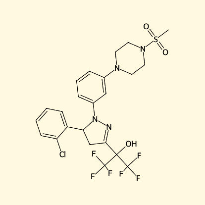 CS(=O)(=O)N1CCN(c2cccc(N3N=C(C(O)(C(F)(F)F)C(F)(F)F)CC3c3ccccc3Cl)c2)CC1